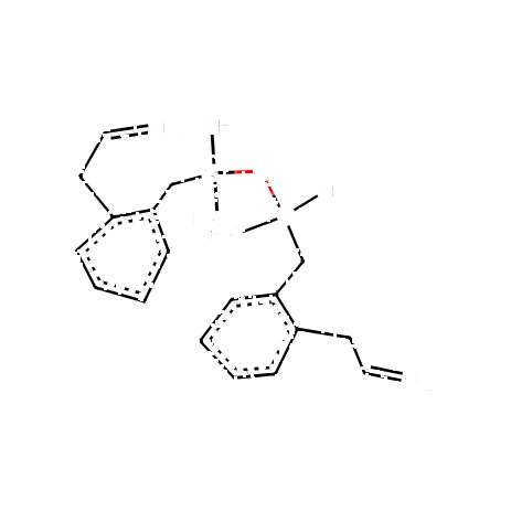 C=CCc1ccccc1C[Si](C)(C)O[Si](C)(C)Cc1ccccc1CC=C